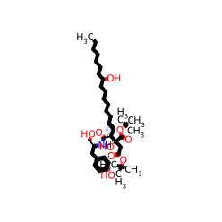 CCCCCCCC(O)CCCCCC/C=C/[C@H](C(=O)N[C@H](CO)Cc1ccc(O)cc1)[C@@](O)(CC(=O)OC(C)(C)C)C(=O)OC(C)(C)C